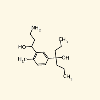 CCCC(O)(CCC)c1ccc(C)c(C(O)CCN)c1